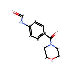 O=CNc1ccc(C(=O)N2CCOCC2)cc1